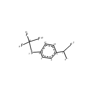 [CH2]C(F)c1ccc(SC(F)(F)F)cc1